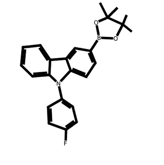 CC1(C)OB(c2ccc3c(c2)c2ccccc2n3-c2ccc(F)cc2)OC1(C)C